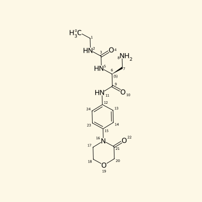 CCNC(=O)N[C@@H](CN)C(=O)Nc1ccc(N2CCOCC2=O)cc1